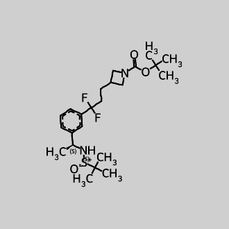 C[C@H](N[S@+]([O-])C(C)(C)C)c1cccc(C(F)(F)CCC2CN(C(=O)OC(C)(C)C)C2)c1